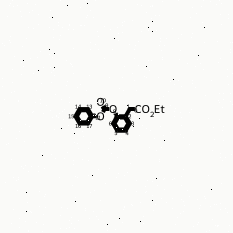 CCOC(=O)Cc1ccccc1OC(=O)Oc1ccccc1